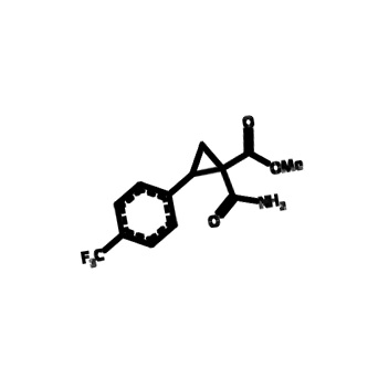 COC(=O)C1(C(N)=O)CC1c1ccc(C(F)(F)F)cc1